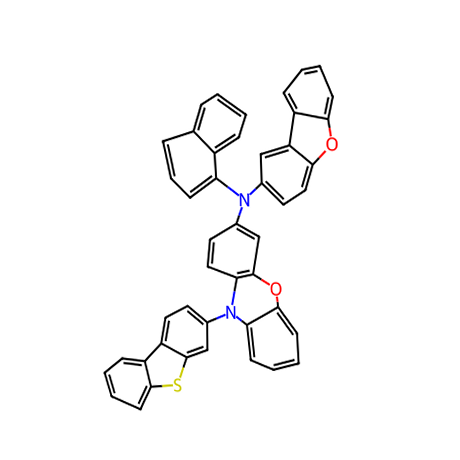 c1ccc2c(c1)Oc1cc(N(c3ccc4oc5ccccc5c4c3)c3cccc4ccccc34)ccc1N2c1ccc2c(c1)sc1ccccc12